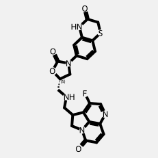 O=C1CSc2ccc(N3C[C@H](CNCC4Cn5c(=O)ccc6ncc(F)c4c65)OC3=O)cc2N1